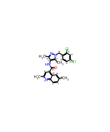 Cc1ccc2nc(C)cc(C(=O)Nc3c(C)nn(Cc4ccc(Cl)cc4Cl)c3C)c2c1